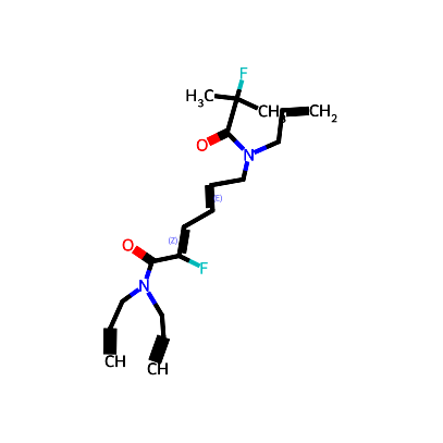 C#CCN(CC#C)C(=O)/C(F)=C/C=C/CN(CC=C)C(=O)C(C)(C)F